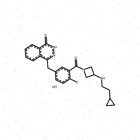 Cl.O=C(c1cc(Cc2n[nH]c(=O)c3ccccc23)ccc1F)N1CC(NCCC2CC2)C1